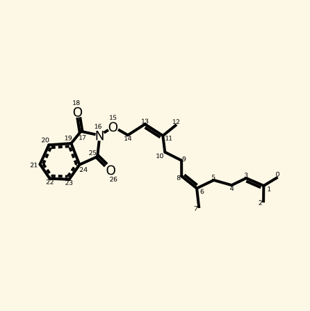 CC(C)=CCCC(C)=CCCC(C)=CCON1C(=O)c2ccccc2C1=O